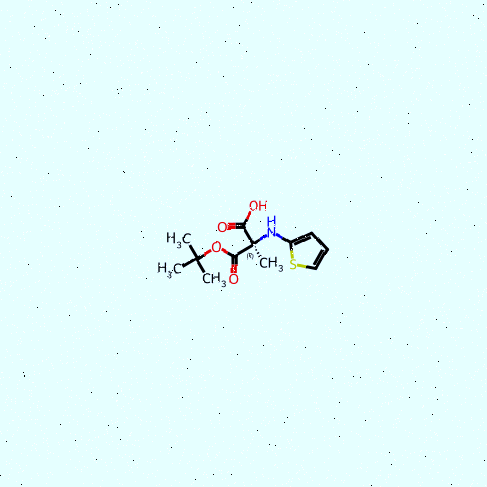 CC(C)(C)OC(=O)[C@](C)(Nc1cccs1)C(=O)O